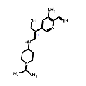 CC(C)N1CCC(N/C=C(\C=N)c2cnc(C=N)c(N)c2)CC1